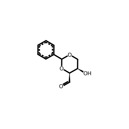 O=C[C@H]1OC(c2ccccc2)OC[C@H]1O